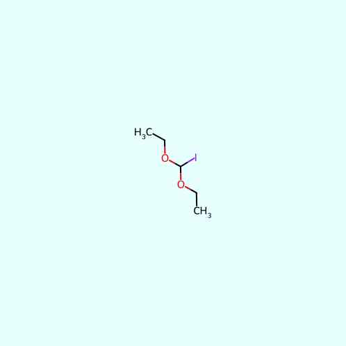 CCOC(I)OCC